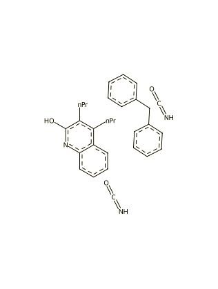 CCCc1c(O)nc2ccccc2c1CCC.N=C=O.N=C=O.c1ccc(Cc2ccccc2)cc1